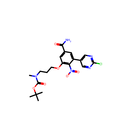 CN(CCCOc1cc(C(N)=O)cc(-c2cnc(Cl)nc2)c1[N+](=O)[O-])C(=O)OC(C)(C)C